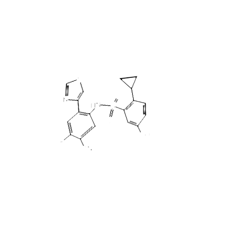 N#Cc1cc(NS(=O)(=O)c2cc(C(=O)O)ccc2C2CC2)c(-c2cscn2)cc1F